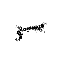 CC(=O)N1CCc2c(c(N3CCCc4cc(-c5cnn(C)c5)c(C(F)F)cc43)nn2C2CCN(C(=O)OC3CCN(c4ncc(C(=O)NC5C(C)(C)C(Oc6ccc(C#N)c(Cl)c6)C5(C)C)cn4)CC3)CC2)C1